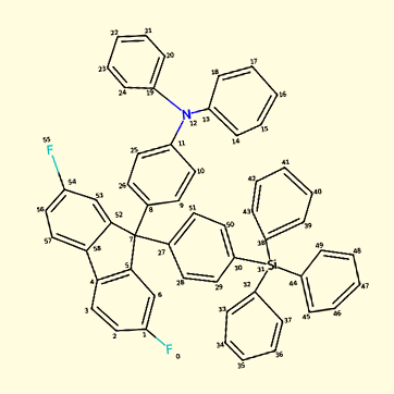 Fc1ccc2c(c1)C(c1ccc(N(c3ccccc3)c3ccccc3)cc1)(c1ccc([Si](c3ccccc3)(c3ccccc3)c3ccccc3)cc1)c1cc(F)ccc1-2